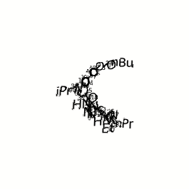 CCCCOCCOc1ccc(-c2ccc3c(c2)C=C(C(=O)Nc2nc(SCc4cnc(C(CC)CCC)[nH]4)n(C)n2)CCN3CC(C)C)cc1